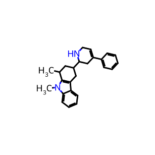 CC1CC(C2CC(c3ccccc3)=CCN2)Cc2c1n(C)c1ccccc21